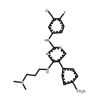 CCOC(=O)c1ccc(-c2cnc(Nc3ccc(F)c(Cl)c3)nc2NCCCN(C)C)cc1